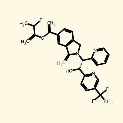 C=C(OC(=C)C(C)F)c1ccc2c(c1)C(=C)N([C@H](c1ccccn1)C(O)c1ccc(C(C)(F)F)cn1)C2